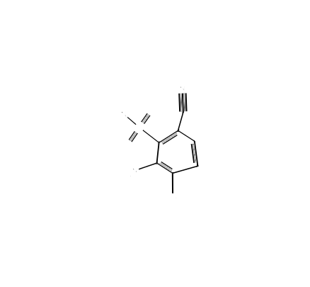 N#Cc1ccc(O)c(N)c1S(N)(=O)=O